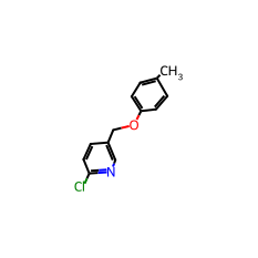 Cc1ccc(OCc2ccc(Cl)nc2)cc1